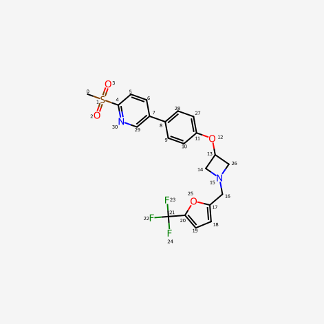 CS(=O)(=O)c1ccc(-c2ccc(OC3CN(Cc4ccc(C(F)(F)F)o4)C3)cc2)cn1